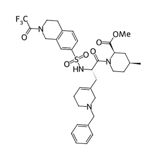 COC(=O)[C@H]1C[C@@H](C)CCN1C(=O)[C@H](CC1=CCCN(Cc2ccccc2)C1)NS(=O)(=O)c1ccc2c(c1)CN(C(=O)C(F)(F)F)CC2